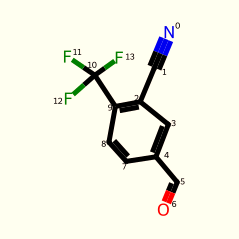 N#Cc1cc(C=O)ccc1C(F)(F)F